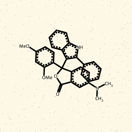 COc1ccc(C2(c3c(-c4ccccc4)[nH]c4ccccc34)OC(=O)c3cc(N(C)C)ccc32)c(OC)c1